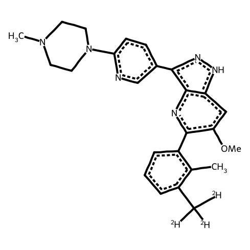 [2H]C([2H])([2H])c1cccc(-c2nc3c(-c4ccc(N5CCN(C)CC5)nc4)n[nH]c3cc2OC)c1C